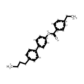 CCCCc1ccc(-c2ccc(OC(=O)c3ccc(CC)cc3)cc2)cc1